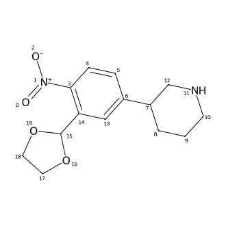 O=[N+]([O-])c1ccc(C2CCCNC2)cc1C1OCCO1